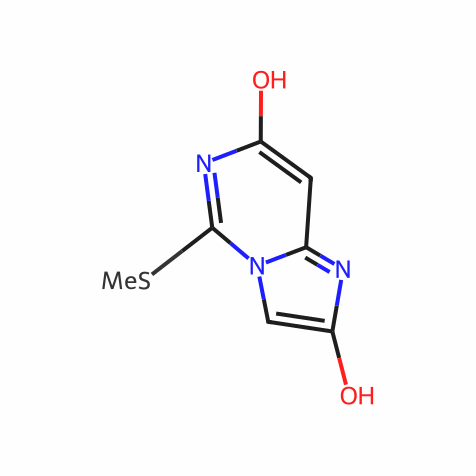 CSc1nc(O)cc2nc(O)cn12